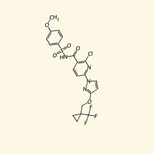 COc1ccc(S(=O)(=O)NC(=O)c2ccc(-n3ccc(OCC4(C(F)(F)F)CC4)n3)nc2Cl)cc1